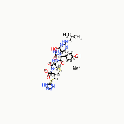 CC(C)CNc1ncc(N(C(N)=O)C(C(=O)NC2C(=O)N3C(C(=O)[O-])=C(CSc4nnn[nH]4)CS[C@@H]23)c2ccc(O)cc2)c(O)n1.[Na+]